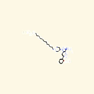 Nc1nn(C2CCN(CCCCCCCCCCCCC(=O)O)CC2)c2cc(-c3ccccc3O)nnc12